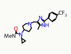 CNC(=O)N(C1CC1)C1CCN(Cc2nc(-c3ccc(C(F)(F)F)cc3)[nH]c2C)CC1